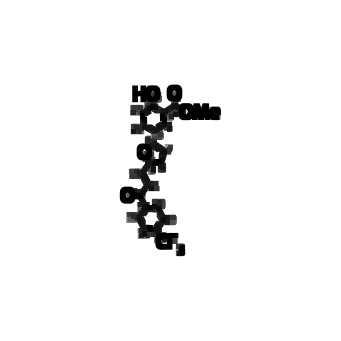 COC(=O)c1cc(-c2ccc(/C=C/C(=O)c3ccc(C(F)(F)F)cc3)o2)ccc1O